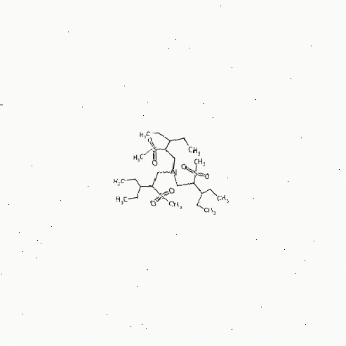 CCC(CC)C([CH2][Al]([CH2]C(C(CC)CC)S(C)(=O)=O)[CH2]C(C(CC)CC)S(C)(=O)=O)S(C)(=O)=O